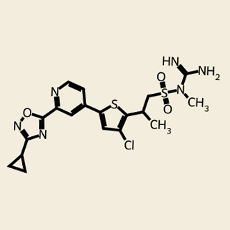 CC(CS(=O)(=O)N(C)C(=N)N)c1sc(-c2ccnc(-c3nc(C4CC4)no3)c2)cc1Cl